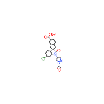 O=C(O)c1ccc2c(c1)C[C@@]1(C2)C(=O)N(c2cnn(C3COC3)c2)c2cc(Cl)ccc21